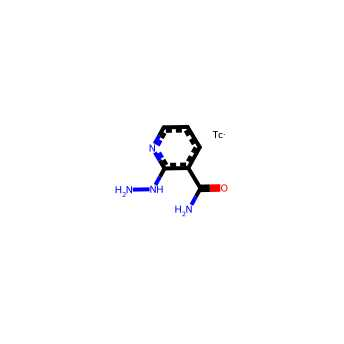 NNc1ncccc1C(N)=O.[Tc]